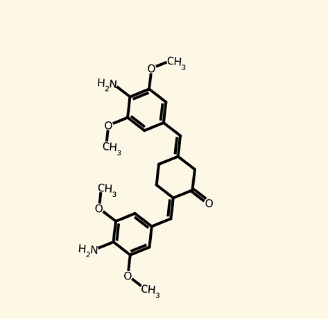 COc1cc(C=C2CCC(=Cc3cc(OC)c(N)c(OC)c3)C(=O)C2)cc(OC)c1N